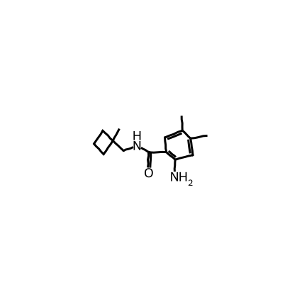 Cc1cc(N)c(C(=O)NCC2(C)CCC2)cc1C